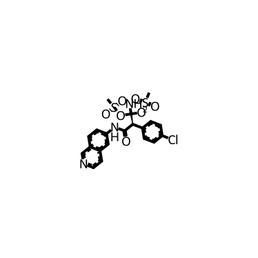 CS(=O)(=O)OC(N)(OS(C)(=O)=O)[C@H](C(=O)Nc1ccc2cnccc2c1)c1ccc(Cl)cc1